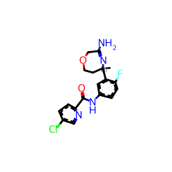 C[C@@]1(c2cc(NC(=O)c3ccc(Cl)cn3)ccc2F)CCOCC(N)=N1